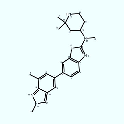 Cc1cc(-c2ccc3nc(N(C)C4CCNC(C)(C)C4)sc3c2)cc2cn(C)nc12